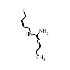 CCC=C=C(N)NC/C=C\CI